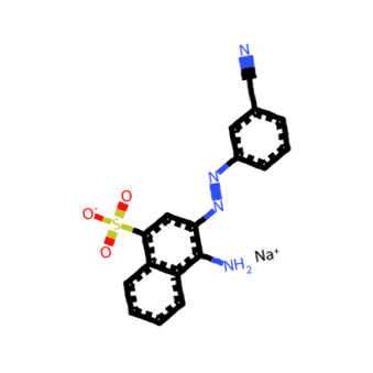 N#Cc1cccc(N=Nc2cc(S(=O)(=O)[O-])c3ccccc3c2N)c1.[Na+]